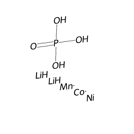 O=P(O)(O)O.[Co].[LiH].[LiH].[Mn].[Ni]